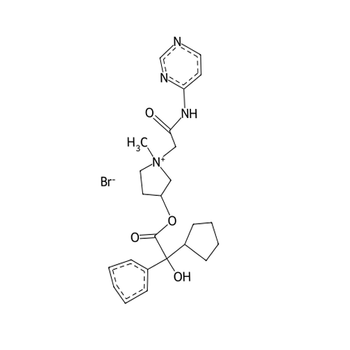 C[N+]1(CC(=O)Nc2ccncn2)CCC(OC(=O)C(O)(c2ccccc2)C2CCCC2)C1.[Br-]